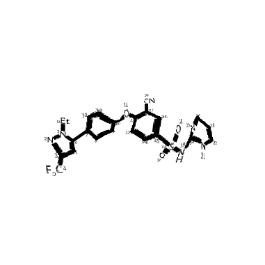 CCn1nc(C(F)(F)F)cc1-c1ccc(Oc2ccc(S(=O)(=O)Nc3ncccn3)cc2C#N)cc1